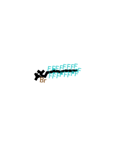 CC(C)[Si](Br)(CCC(F)(F)C(F)(F)C(F)(F)C(F)(F)C(F)(F)C(F)(F)C(F)(F)C(F)(F)F)C(C)C